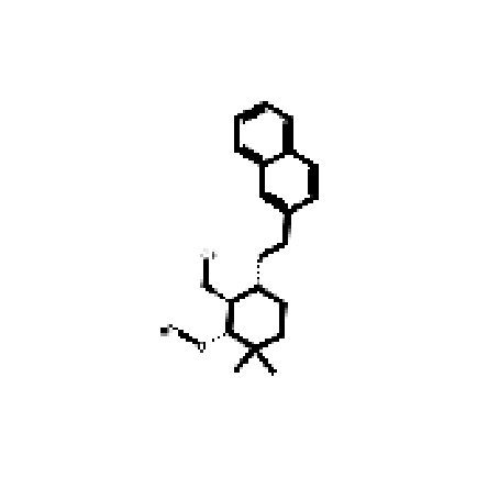 CCCO[C@@H]1[C@@H](CO)[C@H](CCc2ccc3ccccc3c2)CCC1(C)C